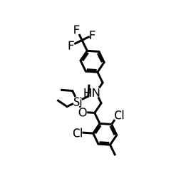 CC[Si](CC)(CC)OC(CNCc1ccc(C(F)(F)F)cc1)c1c(Cl)cc(C)cc1Cl